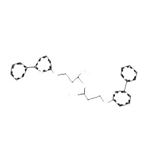 CC(CCOc1cccc(-c2ccccc2)n1)OC(C)CCOc1cccc(-c2ccccc2)n1